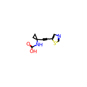 O=C(O)NC1(C#Cc2cncs2)CC1